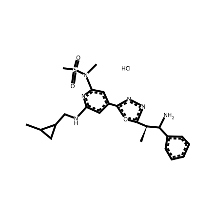 CC1CC1CNc1cc(-c2nnc([C@H](C)C(N)c3ccccc3)o2)cc(N(C)S(C)(=O)=O)n1.Cl